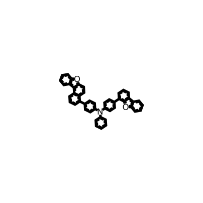 c1ccc(N(c2ccc(-c3cccc4c3ccc3oc5ccccc5c34)cc2)c2ccc(-c3cccc4c3oc3ccccc34)cc2)cc1